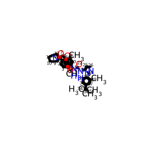 COc1ccc(C(=O)N2C3CCC2CC(Cc2ccc(NC(=O)Nc4ccnn4-c4ccc(C(C)(C)C)cc4C)cc2)C3)c(OC)c1